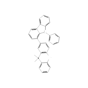 CC1(C)c2ccccc2Oc2ccc(-c3cccc4c5ccccc5n(-c5ccccc5)c34)cc21